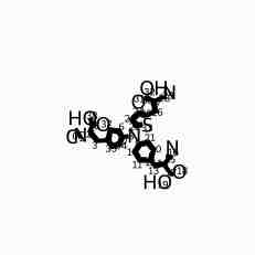 [C-]#[N+]/C(=C/c1ccc(N(c2ccc(/C=C(\C#N)C(=O)O)cc2)c2ccc(/C=C(/C#N)C(=O)O)s2)cc1)C(=O)O